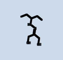 CCC(CC)NN=C(CO)CO